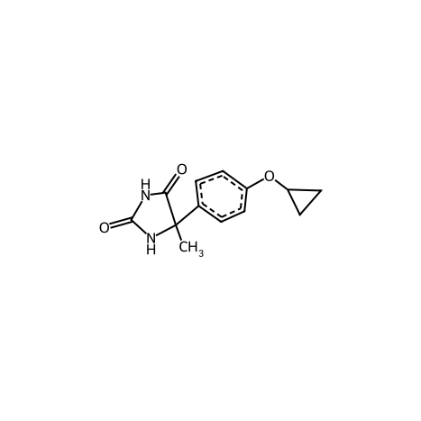 CC1(c2ccc(OC3CC3)cc2)NC(=O)NC1=O